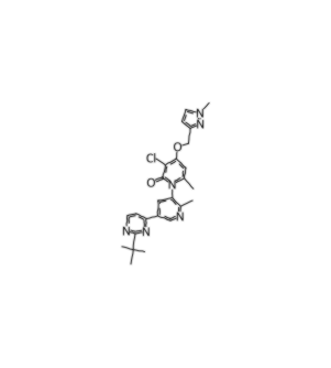 Cc1ncc(-c2ccnc(C(C)(C)C)n2)cc1-n1c(C)cc(OCc2ccn(C)n2)c(Cl)c1=O